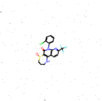 O=c1c2c(c3ccc(C(F)(F)F)nc3n1-c1ccccc1Cl)NCCC[S+]2[O-]